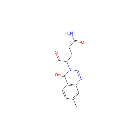 Cc1ccc2c(=O)n(C(C=O)CCC(N)=O)cnc2c1